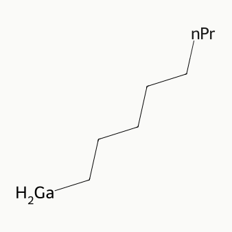 CCCCCCC[CH2][GaH2]